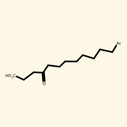 CC(=O)CCCCCCCCC(=O)CCC(=O)O